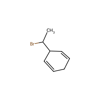 CC(Br)C1C=CCC=C1